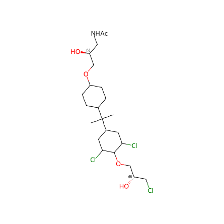 CC(=O)NC[C@H](O)COC1CCC(C(C)(C)C2CC(Cl)C(OC[C@@H](O)CCl)C(Cl)C2)CC1